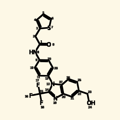 O=C(Cc1cccs1)Nc1ccc(-n2c(C(F)(F)F)nc3cc(CO)ccc32)cc1